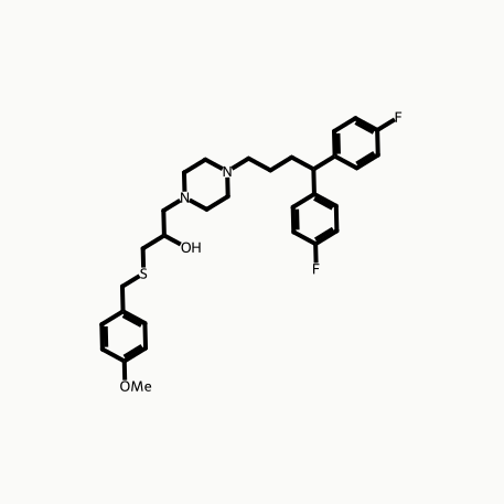 COc1ccc(CSCC(O)CN2CCN(CCCC(c3ccc(F)cc3)c3ccc(F)cc3)CC2)cc1